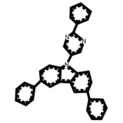 c1ccc(-c2ccc3c(c2)c2cc(-c4ccccc4)ccc2n3-c2cnc(-c3ccccc3)nc2)cc1